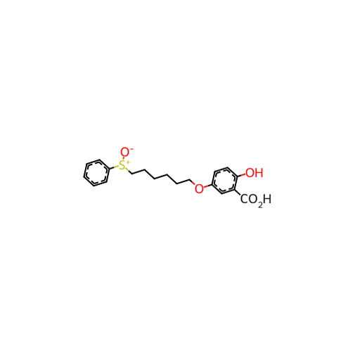 O=C(O)c1cc(OCCCCCC[S+]([O-])c2ccccc2)ccc1O